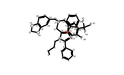 CCCCn1c(-c2ccccc2)nc(-c2ccccc2)c1CN(Cc1ccc2c(c1)OCO2)Cc1ccc(F)c(C(F)(F)F)c1